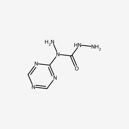 NNC(=O)N(N)c1ncncn1